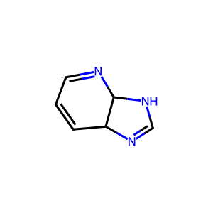 [C]1=NC2NC=NC2C=C1